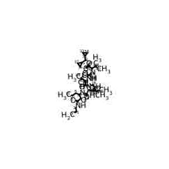 C=CCNC(=O)C(=O)C(CCC)NC(=O)[C@@H]1[C@@H]2[C@H](CN1C(=O)[C@@H](NC(=O)N[C@H](C(=O)OC(C1CC1)C1CC1)C(C)C)C(C)(C)C)C2(C)C